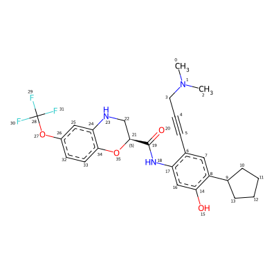 CN(C)CC#Cc1cc(C2CCCC2)c(O)cc1NC(=O)[C@@H]1CNc2cc(OC(F)(F)F)ccc2O1